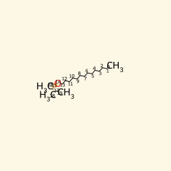 CCCCCCCCCCCCCCOP(C)C(C)C